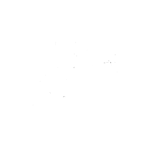 C=Cc1ccc(C[N+](C)(C)CCN(C)C)cc1.[Cl-]